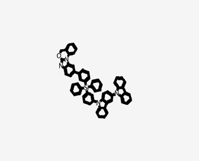 c1ccc([Si](c2ccccc2)(c2cccc(-c3ccc4nc5n(c4c3)-c3ccccc3CO5)c2)c2cccc(-n3c4ccccc4c4cc(-n5c6ccccc6c6ccccc65)ccc43)c2)cc1